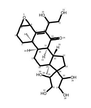 C[C@]12CCC3OC3C1=C(C(O)CO)C(=O)[C@@H]1[C@H]2CC[C@@]2(C)[C@H]1CCC2(C(O)CO)C(O)CO